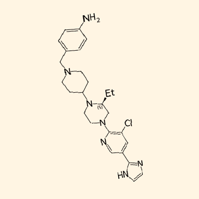 CC[C@H]1CN(c2ncc(-c3ncc[nH]3)cc2Cl)CCN1C1CCN(Cc2ccc(N)cc2)CC1